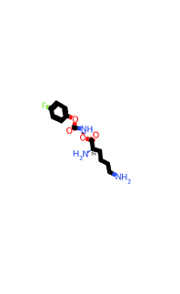 NCCCC[C@H](N)C(=O)ONC(=O)Oc1ccc(F)cc1